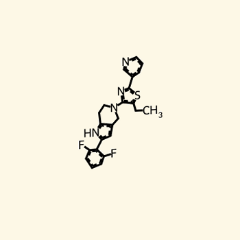 CCc1sc(-c2cccnc2)nc1N1CCc2[nH]c(-c3c(F)cccc3F)cc2C1